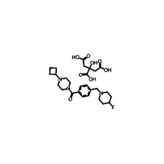 O=C(O)CC(O)(CC(=O)O)C(=O)O.O=C(c1ccc(CN2CCC(F)CC2)cc1)N1CCN(C2CCC2)CC1